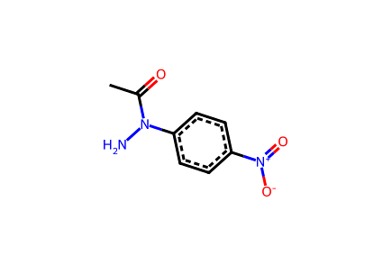 CC(=O)N(N)c1ccc([N+](=O)[O-])cc1